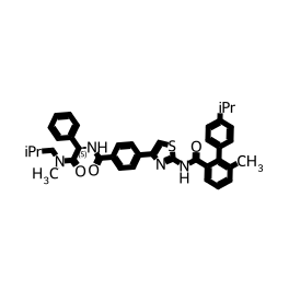 Cc1cccc(C(=O)Nc2nc(-c3ccc(C(=O)N[C@H](C(=O)N(C)CC(C)C)c4ccccc4)cc3)cs2)c1-c1ccc(C(C)C)cc1